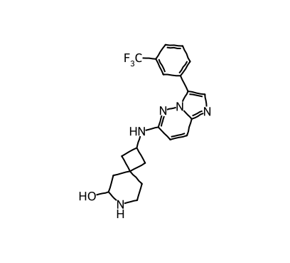 OC1CC2(CCN1)CC(Nc1ccc3ncc(-c4cccc(C(F)(F)F)c4)n3n1)C2